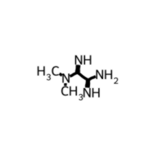 CN(C)C(=N)C(=N)N